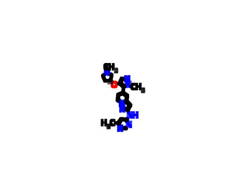 Cc1cc(Nc2cc3cc(-c4c(O[C@H]5CCN(C)C5)cnn4C)ccn3n2)ncn1